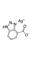 O=C([O-])c1cccc2[nH]nnc12.[Ag+]